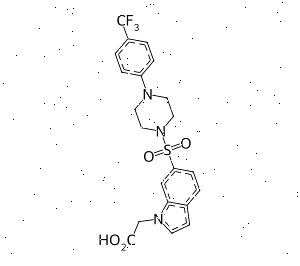 O=C(O)Cn1ccc2ccc(S(=O)(=O)N3CCN(c4ccc(C(F)(F)F)cc4)CC3)cc21